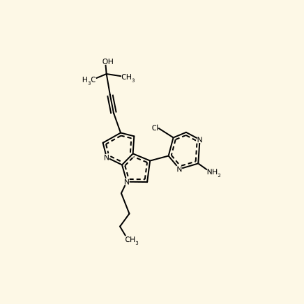 CCCCn1cc(-c2nc(N)ncc2Cl)c2cc(C#CC(C)(C)O)cnc21